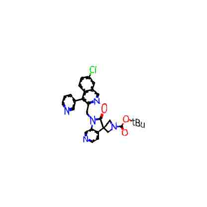 CC(C)(C)OC(=O)N1CC2(C1)C(=O)N(Cc1ncc3cc(Cl)ccc3c1-c1cccnc1)c1cnccc12